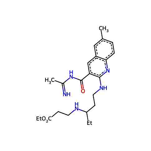 CCOC(=O)CCNC(CC)CCNc1nc2ccc(C)cc2cc1C(=O)NC(C)=N